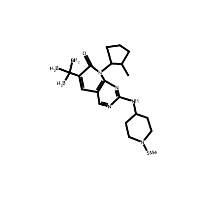 BC(B)(B)c1cc2cnc(NC3CCN(SC)CC3)nc2n(C2CCCC2C)c1=O